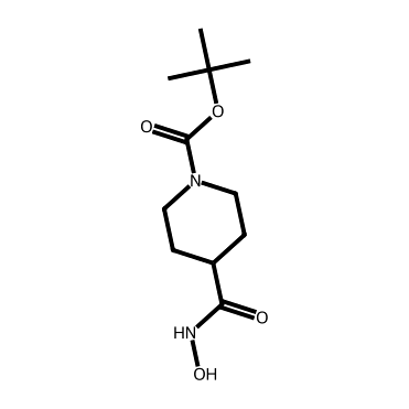 CC(C)(C)OC(=O)N1CCC(C(=O)NO)CC1